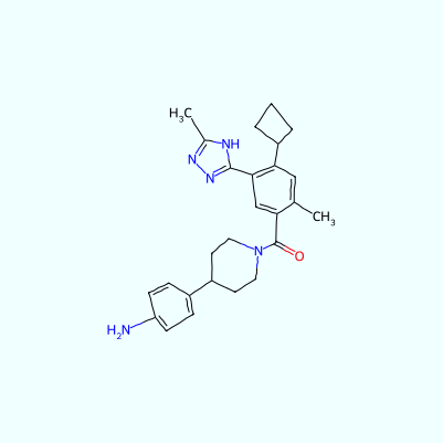 Cc1nnc(-c2cc(C(=O)N3CCC(c4ccc(N)cc4)CC3)c(C)cc2C2CCC2)[nH]1